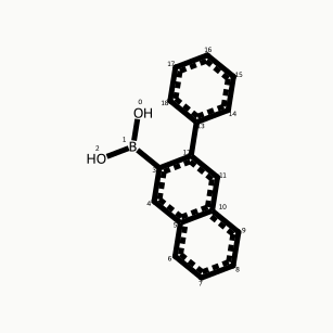 OB(O)c1cc2ccccc2cc1-c1ccccc1